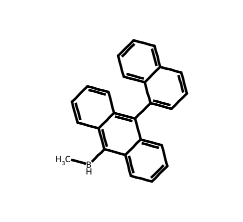 CBc1c2ccccc2c(-c2cccc3ccccc23)c2ccccc12